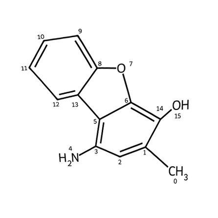 Cc1cc(N)c2c(oc3ccccc32)c1O